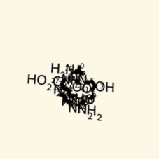 Cc1cn([C@H]2C[C@H](O)[C@@H](CO)O2)c(=O)nc1N.NC(=O)NCCCCC(N)C(=O)O.NCCCCN